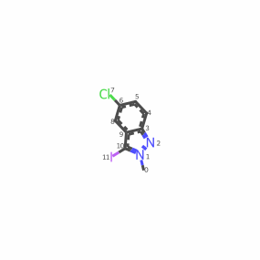 Cn1nc2ccc(Cl)cc2c1I